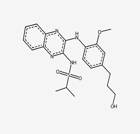 COc1cc(CCCO)ccc1Nc1nc2ccccc2nc1NS(=O)(=O)C(C)C